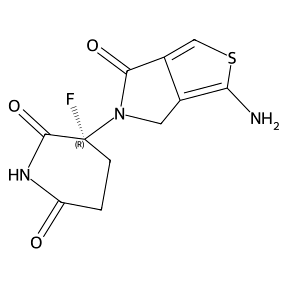 Nc1scc2c1CN([C@@]1(F)CCC(=O)NC1=O)C2=O